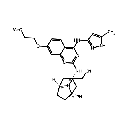 COCCOc1ccc2c(Nc3cc(C)[nH]n3)nc(N[C@@H]3C[C@H]4CC[C@@H](C3)N4CCC#N)nc2c1